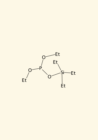 CCOP(OCC)O[Si](CC)(CC)CC